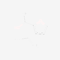 C=CC(=O)O.CC(O)c1ccco1